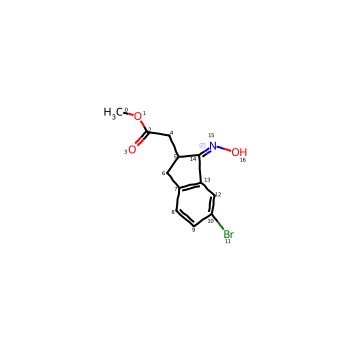 COC(=O)CC1Cc2ccc(Br)cc2/C1=N\O